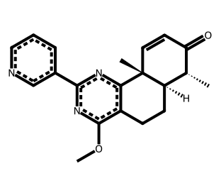 COc1nc(-c2cccnc2)nc2c1CC[C@@H]1[C@@H](C)C(=O)C=C[C@@]21C